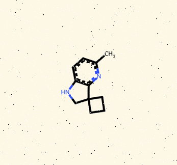 Cc1ccc2c(n1)C1(CCC1)CN2